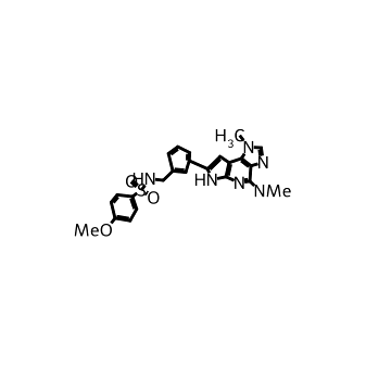 CNc1nc2[nH]c(-c3cccc(CNS(=O)(=O)c4ccc(OC)cc4)c3)cc2c2c1ncn2C